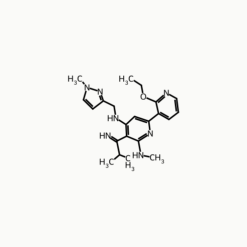 CCOc1ncccc1-c1cc(NCc2ccn(C)n2)c(C(=N)C(C)C)c(NC)n1